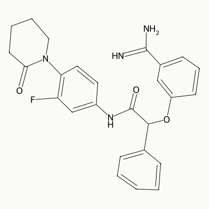 N=C(N)c1cccc(OC(C(=O)Nc2ccc(N3CCCCC3=O)c(F)c2)c2ccccc2)c1